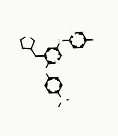 C[S+]([O-])c1ccc(Oc2ncc(Nc3ccc(C(F)(F)F)cn3)cc2CC2CCOC2)cc1